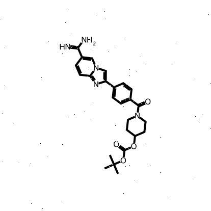 CC(C)(C)OC(=O)OC1CCN(C(=O)c2ccc(-c3cn4cc(C(=N)N)ccc4n3)cc2)CC1